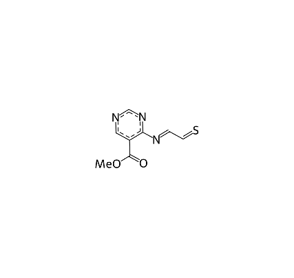 COC(=O)c1cncnc1N=CC=S